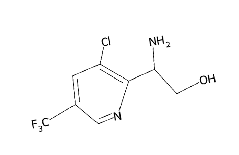 NC(CO)c1ncc(C(F)(F)F)cc1Cl